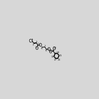 O=C(C=CCl)OCCCOOC(=O)c1ccccc1